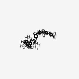 C=C(CCCN(CCC)CC1CCC(=C)C(Cc2ccc(C(=O)Nc3ccc(Oc4ccc(C#N)c(Cl)c4)cc3)nn2)CC1)c1cc(C(=O)C(=C)C2CCC(=O)NC2=O)c(C(C)=O)cc1F